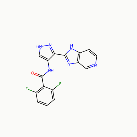 O=C(Nc1c[nH]nc1-c1nc2cnccc2[nH]1)c1c(F)cccc1F